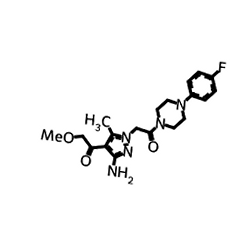 COCC(=O)c1c(N)nn(CC(=O)N2CCN(c3ccc(F)cc3)CC2)c1C